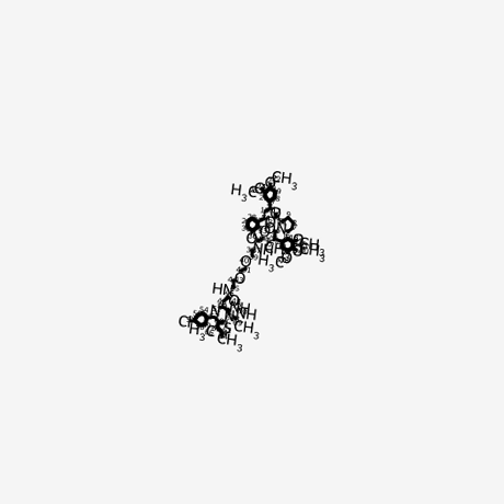 CC[C@H](C(=O)N1CCCC[C@H]1C(=O)O[C@H](CCc1ccc(OC)c(OC)c1)c1ccccc1OCC(=O)NCCOCCOCCNC(=O)C[C@@H]1N=C(c2ccc(Cl)cc2)c2c(sc(C)c2C)N(C(C)=N)C1=N)c1cc(OC)c(OC)c(OC)c1